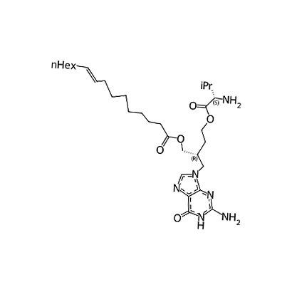 CCCCCCC=CCCCCCCCC(=O)OC[C@H](CCOC(=O)[C@@H](N)C(C)C)Cn1cnc2c(=O)[nH]c(N)nc21